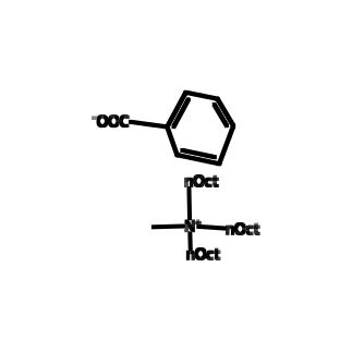 CCCCCCCC[N+](C)(CCCCCCCC)CCCCCCCC.O=C([O-])c1ccccc1